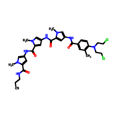 Cc1cc(C(=O)Nc2cc(C(=O)Nc3cc(C(=O)Nc4cc(C(=O)NCCC#N)n(C)c4)n(C)c3)n(C)c2)ccc1N(CCCl)CCCl